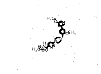 CCOc1cncc(-c2ccc(CN3CCN(c4ccc(C(=O)NS(C)(=O)=O)nn4)CC3)c(OC)c2)c1